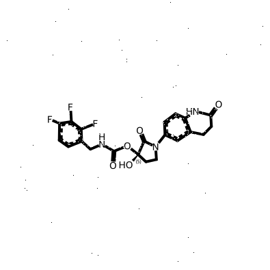 O=C1CCc2cc(N3CC[C@](O)(OC(=O)NCc4ccc(F)c(F)c4F)C3=O)ccc2N1